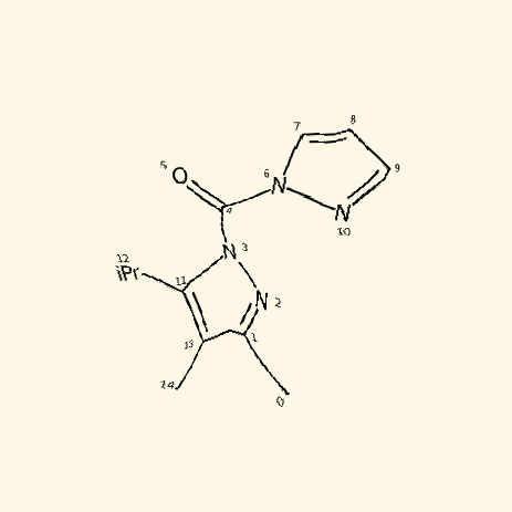 Cc1nn(C(=O)n2cccn2)c(C(C)C)c1C